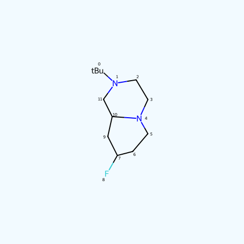 CC(C)(C)N1CCN2CCC(F)CC2C1